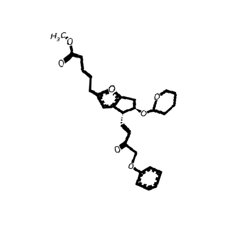 COC(=O)CCCCc1cc2c(o1)C[C@@H](OC1CCCCO1)[C@@H]2/C=C/C(=O)COc1ccccc1